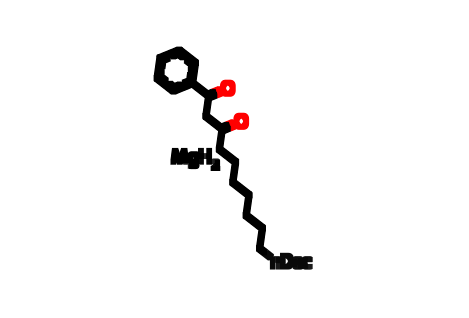 CCCCCCCCCCCCCCCCCC(=O)CC(=O)c1ccccc1.[MgH2]